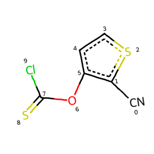 N#Cc1sccc1OC(=S)Cl